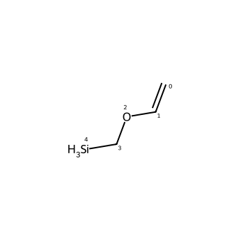 C=COC[SiH3]